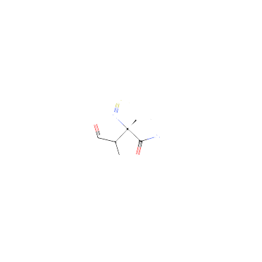 CC(C=O)[C@](C)(N=[SH4])C(N)=O